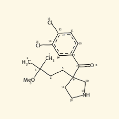 COC(C)(C)CCC1(C(=O)c2ccc(Cl)c(Cl)c2)CCNC1